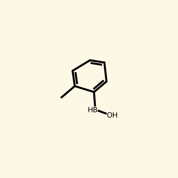 Cc1ccccc1BO